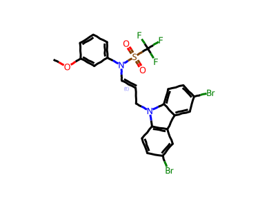 COc1cccc(N(/C=C/Cn2c3ccc(Br)cc3c3cc(Br)ccc32)S(=O)(=O)C(F)(F)F)c1